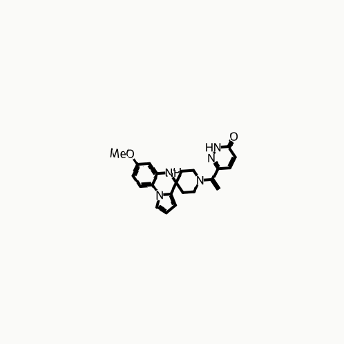 C=C(c1ccc(=O)[nH]n1)N1CCC2(CC1)Nc1cc(OC)ccc1-n1cccc12